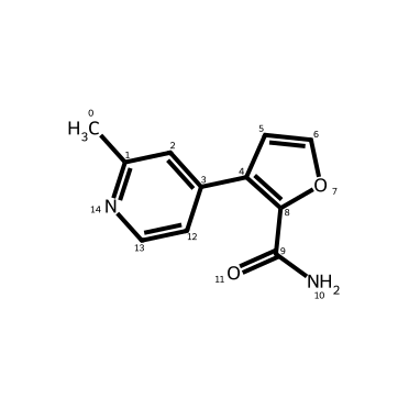 Cc1cc(-c2ccoc2C(N)=O)ccn1